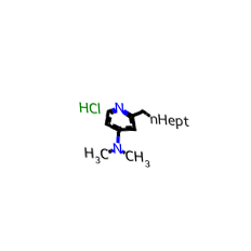 CCCCCCCCc1cc(N(C)C)ccn1.Cl